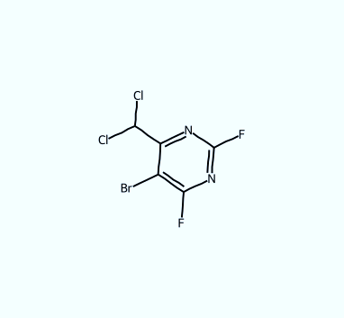 Fc1nc(F)c(Br)c(C(Cl)Cl)n1